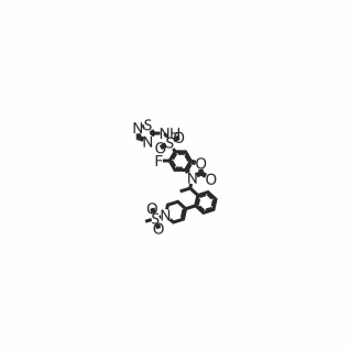 CC(c1ccccc1C1=CCN(S(C)(=O)=O)CC1)n1c(=O)oc2cc(S(=O)(=O)Nc3ncns3)c(F)cc21